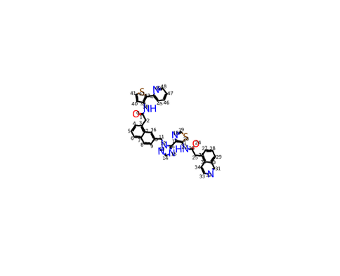 O=C(Cc1cccc2ccc(Cn3ncnc3-c3ncsc3NC(=O)Cc3cccc4cnccc34)cc12)Nc1ccsc1-c1ccccn1